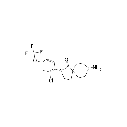 NC1CCC2(CC1)CCN(c1ccc(OC(F)(F)F)cc1Cl)C2=O